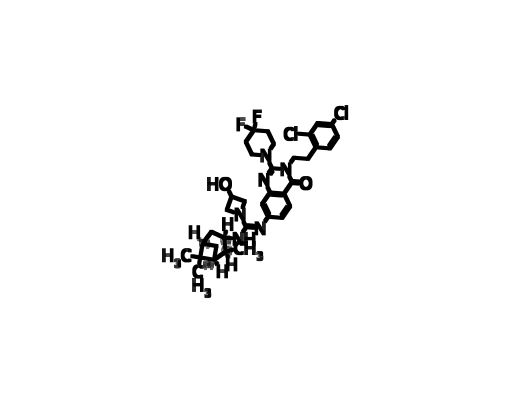 C[C@H]1[C@@H](NC(=Nc2ccc3c(=O)n(CCc4ccc(Cl)cc4Cl)c(N4CCC(F)(F)CC4)nc3c2)N2CC(O)C2)C[C@H]2C[C@H]1C2(C)C